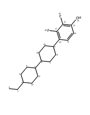 CCC1CCC(C2CCC(c3ccc(O)c(F)c3F)CC2)CC1